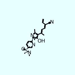 C=C/C(C#N)=C\C=C(/C)c1c(C)nn(-c2ccc(S(C)(=O)=NC)cn2)c1O